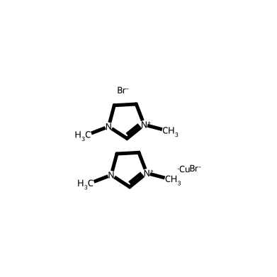 CN1C=[N+](C)CC1.CN1C=[N+](C)CC1.[Br-].[Br-].[Cu]